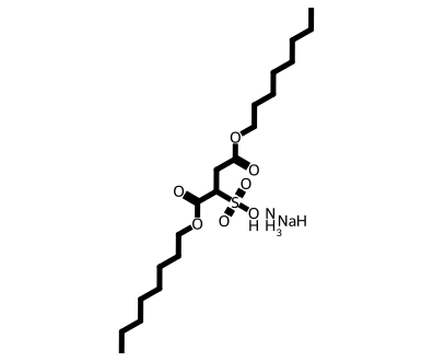 CCCCCCCCOC(=O)CC(C(=O)OCCCCCCCC)S(=O)(=O)O.N.[NaH]